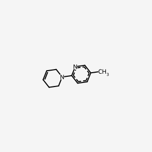 Cc1ccc(N2CC=CCC2)nc1